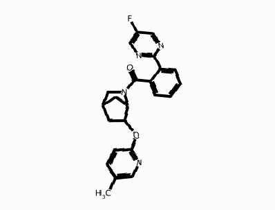 Cc1ccc(OC2CC3CC2N(C(=O)c2ccccc2-c2ncc(F)cn2)C3)nc1